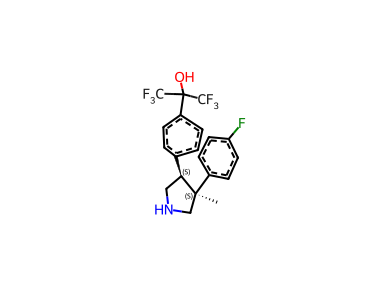 C[C@]1(c2ccc(F)cc2)CNC[C@H]1c1ccc(C(O)(C(F)(F)F)C(F)(F)F)cc1